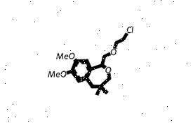 COc1cc2c(cc1OC)C(COCCCl)OCC(C)(C)C2